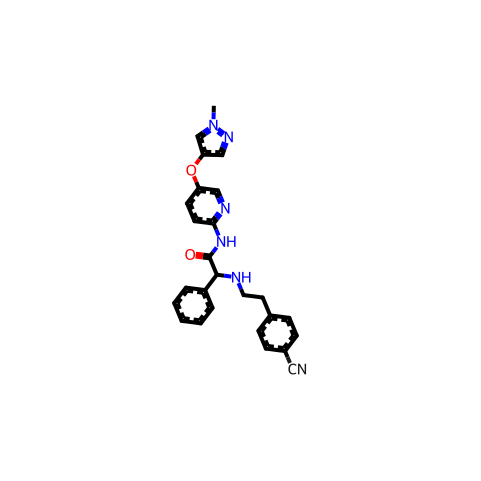 Cn1cc(Oc2ccc(NC(=O)C(NCCc3ccc(C#N)cc3)c3ccccc3)nc2)cn1